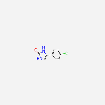 O=c1[nH]cc(-c2ccc(Cl)cc2)[nH]1